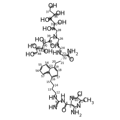 Cc1nc(N)c(C(=O)NC(=N)NCCCCc2ccc(CC[C@H](NCCCN(C[C@H](O)[C@@H](O)[C@H](O)[C@H](O)CO)C[C@H](O)[C@@H](O)[C@H](O)[C@H](O)CO)C(N)=O)c3ccccc23)nc1Cl